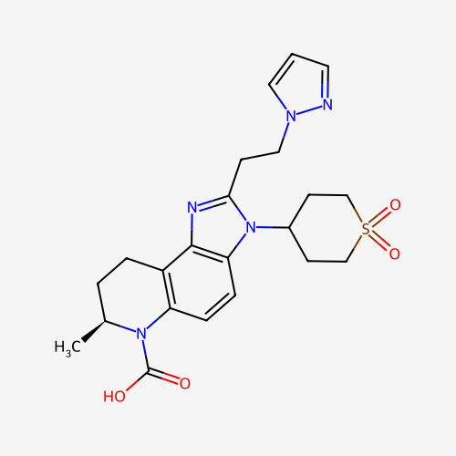 C[C@H]1CCc2c(ccc3c2nc(CCn2cccn2)n3C2CCS(=O)(=O)CC2)N1C(=O)O